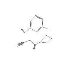 N#CCC(=O)C1CCC1.O=Cc1cccc(Cl)c1